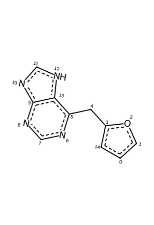 c1coc(Cc2ncnc3nc[nH]c23)c1